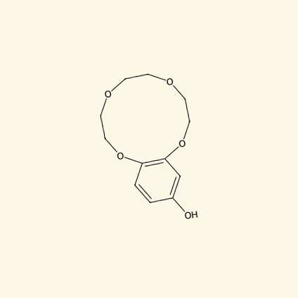 Oc1ccc2c(c1)OCCOCCOCCO2